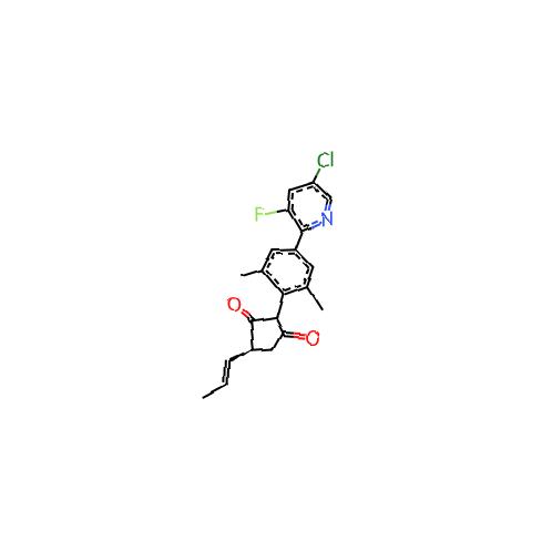 C/C=C/[C@@H]1CC(=O)C(c2c(C)cc(-c3ncc(Cl)cc3F)cc2C)C1=O